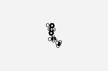 COc1cccc2c1Oc1ccc(N3C[C@H](COS(C)(=O)=O)OC3=O)cc1O2